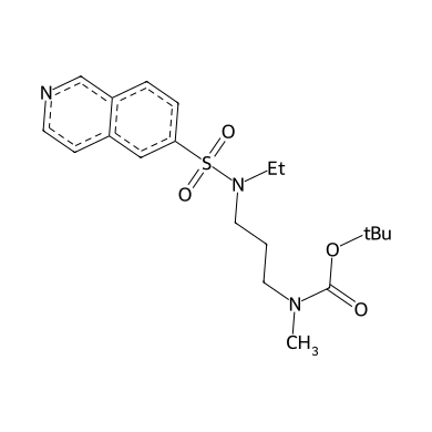 CCN(CCCN(C)C(=O)OC(C)(C)C)S(=O)(=O)c1ccc2cnccc2c1